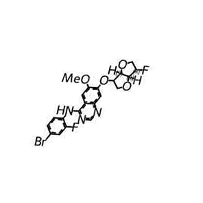 COc1cc2c(Nc3ccc(Br)cc3F)ncnc2cc1OC1CO[C@H]2[C@H](F)CO[C@@H]12